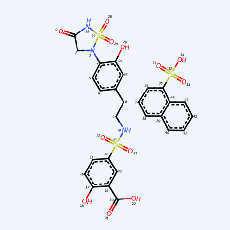 O=C1CN(c2ccc(CCNS(=O)(=O)c3ccc(O)c(C(=O)O)c3)cc2O)S(=O)(=O)N1.O=S(=O)(O)c1cccc2ccccc12